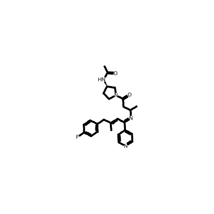 CC(=O)N[C@@H]1CCN(C(=O)CC(C)/N=C(\C=C(/C)Cc2ccc(F)cc2)c2ccncc2)C1